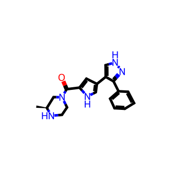 C[C@H]1CN(C(=O)c2cc(-c3c[nH]nc3-c3ccccc3)c[nH]2)CCN1